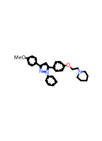 COc1ccc(-c2cc(-c3ccc(OCCN4CCCCC4)cc3)n(-c3ccccc3)n2)cc1